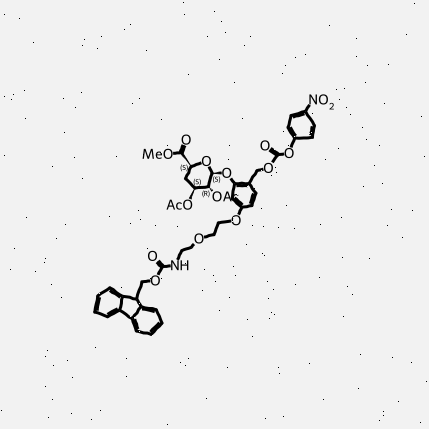 COC(=O)[C@@H]1C[C@H](OC(C)=O)[C@@H](OC(C)=O)[C@H](Oc2cc(OCCOCCNC(=O)OCC3c4ccccc4-c4ccccc43)ccc2COC(=O)Oc2ccc([N+](=O)[O-])cc2)O1